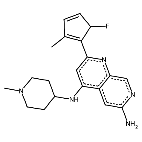 CC1=C(c2cc(NC3CCN(C)CC3)c3cc(N)ncc3n2)C(F)C=C1